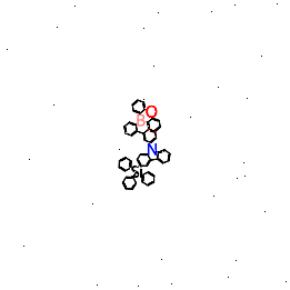 c1ccc([Si](c2ccccc2)(c2ccccc2)c2ccc3c(c2)c2ccccc2n3-c2cccc(-c3ccccc3B3c4ccccc4Oc4ccccc43)c2)cc1